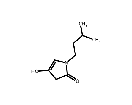 CC(C)CCN1C=C(O)CC1=O